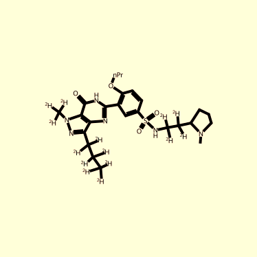 [2H]C([2H])([2H])n1nc(C([2H])([2H])C([2H])([2H])C([2H])([2H])[2H])c2nc(-c3cc(S(=O)(=O)NC([2H])([2H])C([2H])([2H])C4CCCN4C)ccc3OCCC)[nH]c(=O)c21